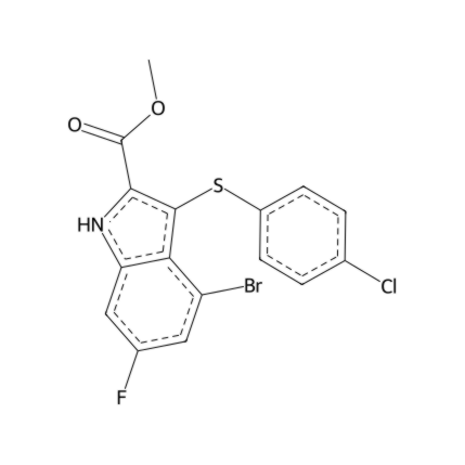 COC(=O)c1[nH]c2cc(F)cc(Br)c2c1Sc1ccc(Cl)cc1